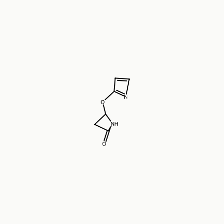 O=C1CC(OC2=NC=C2)N1